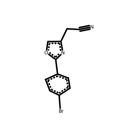 N#CCc1coc(-c2ccc(Br)cc2)n1